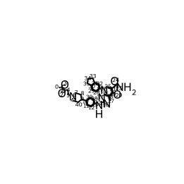 CS(=O)(=O)CCN1CCC(c2ccc(Nc3ncc4c(=O)c(C(N)=O)cn(-c5ccc6c(c5)CCC6)c4n3)cc2)CC1